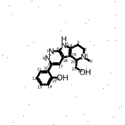 CN1CCc2[nH]c3nnc(-c4ccccc4O)cc3c2C1CO